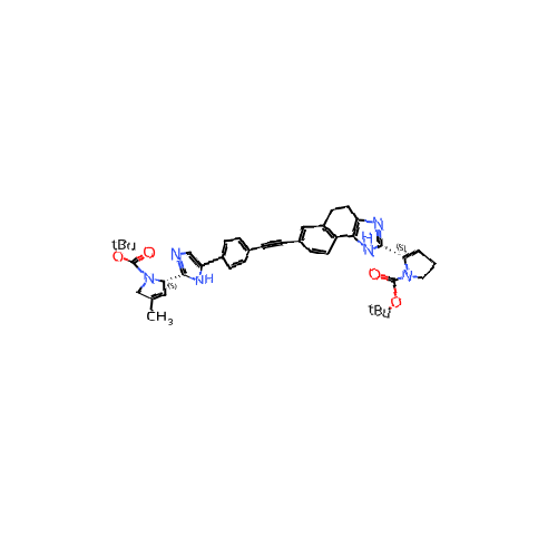 CC1=C[C@@H](c2ncc(-c3ccc(C#Cc4ccc5c(c4)CCc4nc([C@@H]6CCCN6C(=O)OC(C)(C)C)[nH]c4-5)cc3)[nH]2)N(C(=O)OC(C)(C)C)C1